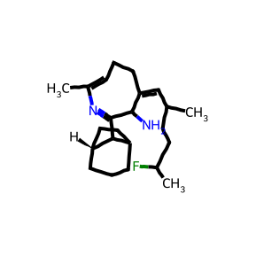 CC1=C\CC/C(=C/C(C)CCC(C)F)C(N)/C(C2C3CCC[C@@H]2CC3)=N\1